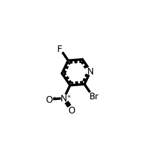 O=[N+]([O-])c1cc(F)cnc1Br